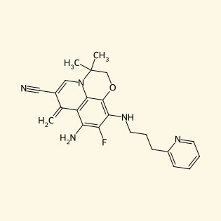 C=C1C(C#N)=CN2c3c(c(NCCCc4ccccn4)c(F)c(N)c31)OCC2(C)C